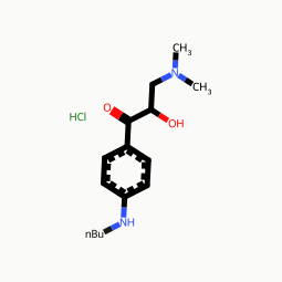 CCCCNc1ccc(C(=O)C(O)CN(C)C)cc1.Cl